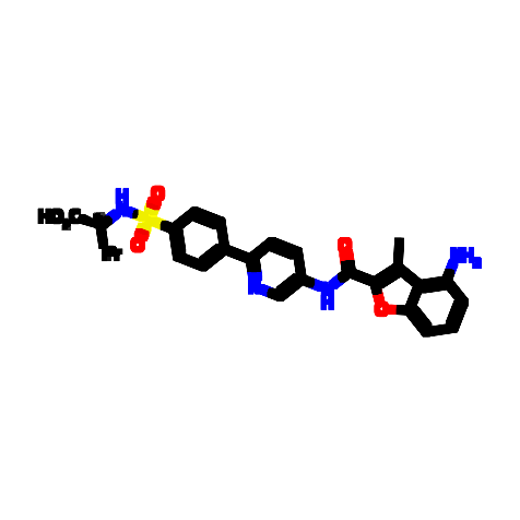 Cc1c(C(=O)Nc2ccc(-c3ccc(S(=O)(=O)N[C@H](C(=O)O)C(C)C)cc3)nc2)oc2cccc(N)c12